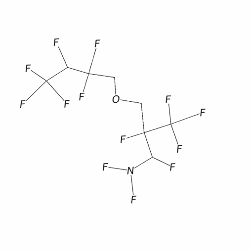 FC(C(F)(F)F)C(F)(F)COCC(F)(C(F)N(F)F)C(F)(F)F